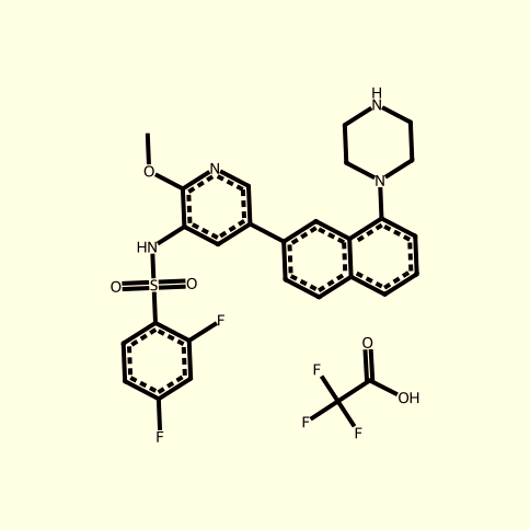 COc1ncc(-c2ccc3cccc(N4CCNCC4)c3c2)cc1NS(=O)(=O)c1ccc(F)cc1F.O=C(O)C(F)(F)F